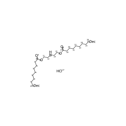 CCCCCCCCCCCCCCCCCC(=O)OCCNCCOC(=O)CCCCCCCCCCCCCCCCC.Cl